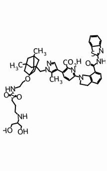 Cc1c(-c2ccc(N3CCc4cccc(C(=O)Nc5nc6ccccc6s5)c4C3)nc2C(=O)O)cnn1CC12CC3(C)CC(C)(C1)CC(OCCNS(=O)(=O)CCCNC(CO)CO)(C3)C2